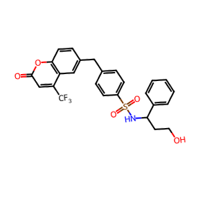 O=c1cc(C(F)(F)F)c2cc(Cc3ccc(S(=O)(=O)NC(CCO)c4ccccc4)cc3)ccc2o1